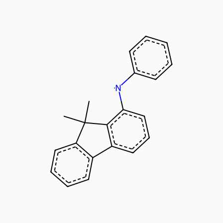 CC1(C)c2ccccc2-c2cccc([N]c3ccccc3)c21